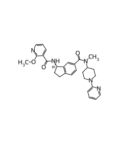 COc1ncccc1C(=O)N[C@@H]1CCc2ccc(C(=O)N(C)C3CCN(c4ccccn4)CC3)cc21